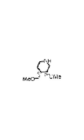 COC[C@@H]1CCNC[C@@H]1OC